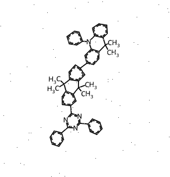 CC1(C)c2ccccc2N(c2ccccc2)c2cc(-c3ccc4c(c3)C(C)(C)c3cc(-c5nc(-c6ccccc6)nc(-c6ccccc6)n5)ccc3C4(C)C)ccc21